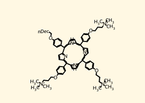 CCCCCCCCCCCOc1ccc(-c2c3nc(c(-c4ccc(OCCC[N+](C)(C)C)cc4)c4ccc([nH]4)c(-c4ccc(OCCC[N+](C)(C)C)cc4)c4nc(c(-c5ccc(OCCC[N+](C)(C)C)cc5)c5ccc2[nH]5)C=C4)C=C3)cc1